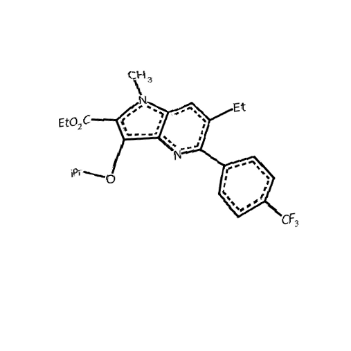 CCOC(=O)c1c(OC(C)C)c2nc(-c3ccc(C(F)(F)F)cc3)c(CC)cc2n1C